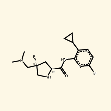 CN(C)C[C@]1(F)CN[C@H](C(=O)Nc2nc(Br)ccc2C2CC2)C1